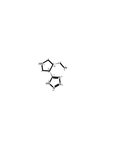 CC(C)C[C@H]1CNC[C@H]1c1nnn[nH]1